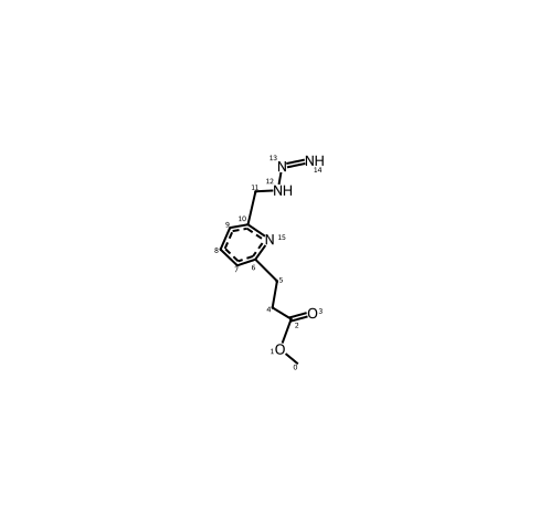 COC(=O)CCc1cccc(CNN=N)n1